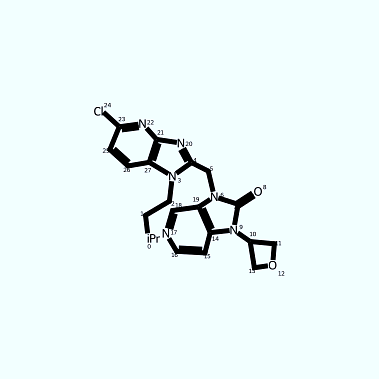 CC(C)CCn1c(Cn2c(=O)n(C3COC3)c3ccncc32)nc2nc(Cl)ccc21